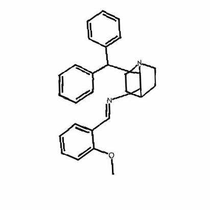 COc1ccccc1C=NC1C2CCN(CC2)C1C(c1ccccc1)c1ccccc1